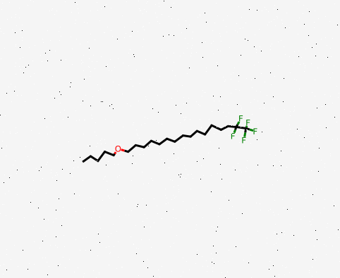 CCCCCOCCCCCCCCCCCCCCC(F)(F)C(F)(F)F